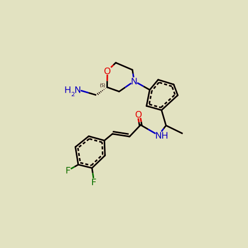 CC(NC(=O)C=Cc1ccc(F)c(F)c1)c1cccc(N2CCO[C@@H](CN)C2)c1